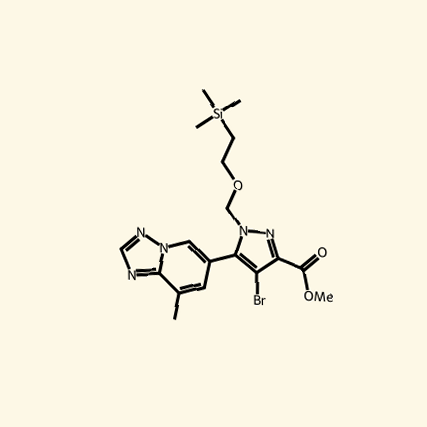 COC(=O)c1nn(COCC[Si](C)(C)C)c(-c2cc(C)c3ncnn3c2)c1Br